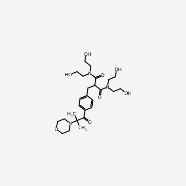 CC(C)(C(=O)c1ccc(CC(C(=O)N(CCO)CCO)C(=O)N(CCO)CCO)cc1)N1CCOCC1